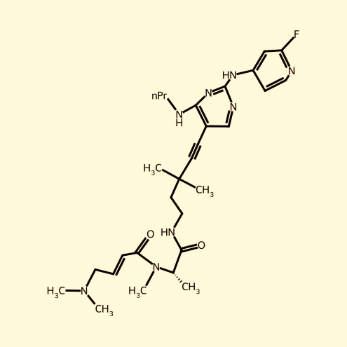 CCCNc1nc(Nc2ccnc(F)c2)ncc1C#CC(C)(C)CCNC(=O)[C@H](C)N(C)C(=O)/C=C/CN(C)C